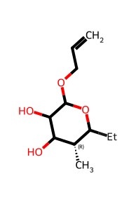 C=CCOC1OC(CC)[C@H](C)C(O)C1O